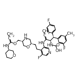 C=C=C(N[C@@H]1CCCOC1)OC[C@@H]1CO[C@H](CCc2c(F)cncc2NC(=C=C)[C@H](NC(=O)O)[C@@H](c2ccc(F)cc2)c2cc(C)cc(F)c2)CN1